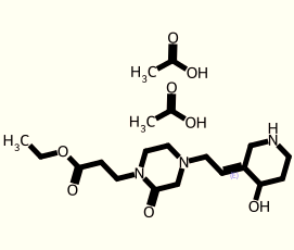 CC(=O)O.CC(=O)O.CCOC(=O)CCN1CCN(C/C=C2\CNCCC2O)CC1=O